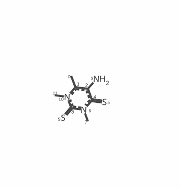 Cc1c(N)c(=S)n(C)c(=S)n1C